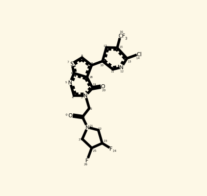 O=C(Cn1cnc2scc(-c3cnc(Cl)c(C(F)(F)F)c3)c2c1=O)N1CC(F)C(F)C1